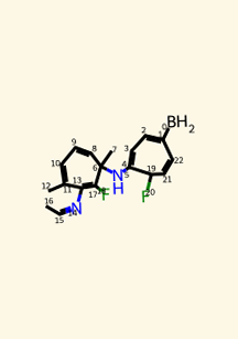 BC1=CC=C(NC2(C)C=CC=C(C)C(/N=C\C)=C2F)C(F)C=C1